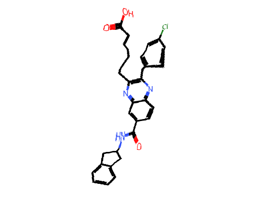 O=C(O)CCCCc1nc2cc(C(=O)NC3Cc4ccccc4C3)ccc2nc1-c1ccc(Cl)cc1